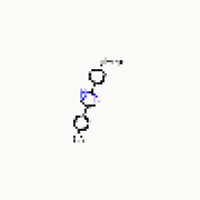 CCCCCCCc1ccc(-c2ncc(-c3ccc(C#N)cc3)cn2)cc1